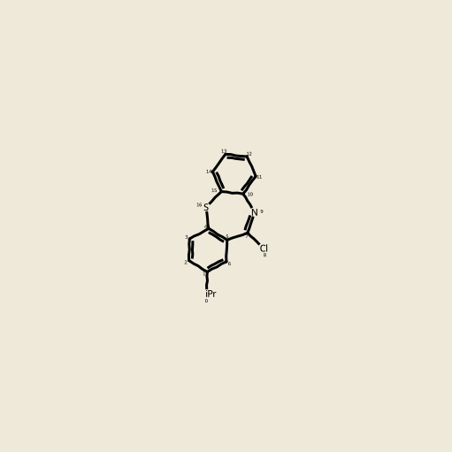 CC(C)c1ccc2c(c1)C(Cl)=Nc1ccccc1S2